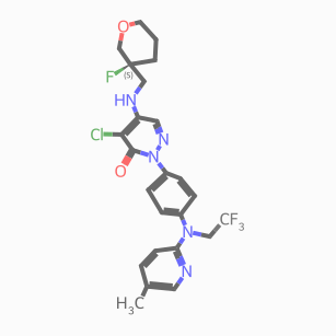 Cc1ccc(N(CC(F)(F)F)c2ccc(-n3ncc(NC[C@@]4(F)CCCOC4)c(Cl)c3=O)cc2)nc1